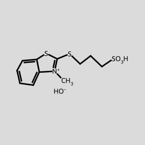 C[n+]1c(SCCCS(=O)(=O)O)sc2ccccc21.[OH-]